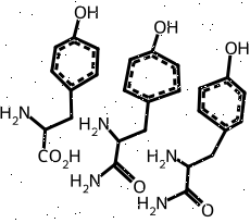 NC(=O)C(N)Cc1ccc(O)cc1.NC(=O)C(N)Cc1ccc(O)cc1.NC(Cc1ccc(O)cc1)C(=O)O